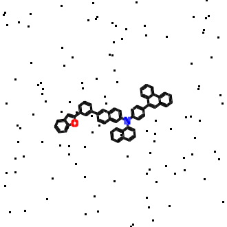 c1cc(-c2ccc3cc(N(c4ccc(-c5cc6ccccc6c6ccccc56)cc4)c4cccc5ccccc45)ccc3c2)cc(-c2cc3ccccc3o2)c1